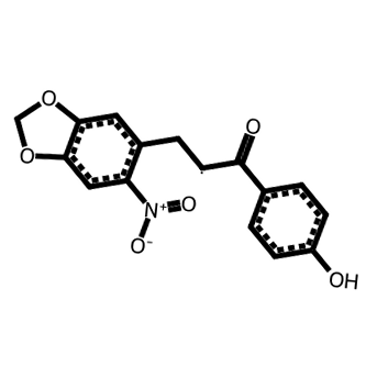 O=C([CH]Cc1cc2c(cc1[N+](=O)[O-])OCO2)c1ccc(O)cc1